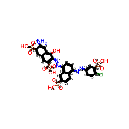 Nc1cc2c(O)c(/N=N/c3ccc(/N=N/c4ccc(Cl)c(S(=O)(=O)O)c4)c4ccc(S(=O)(=O)O)cc34)c(S(=O)(=O)O)cc2cc1S(=O)(=O)O